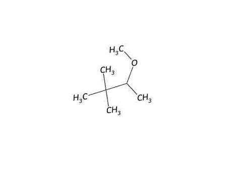 COC(C)C(C)(C)C